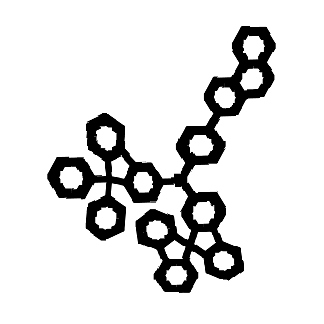 c1ccc(C2(c3ccccc3)c3ccccc3-c3cc(N(c4ccc(-c5ccc6c(ccc7ccccc76)c5)cc4)c4ccc5c(c4)C4(c6ccccc6-c6ccccc64)c4ccccc4-5)ccc32)cc1